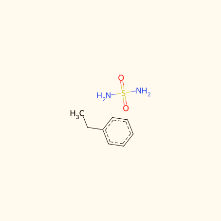 CCc1ccccc1.NS(N)(=O)=O